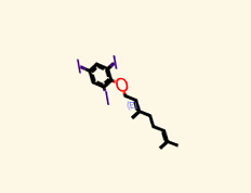 CC(C)=CCC/C(C)=C/COc1c(I)cc(I)cc1I